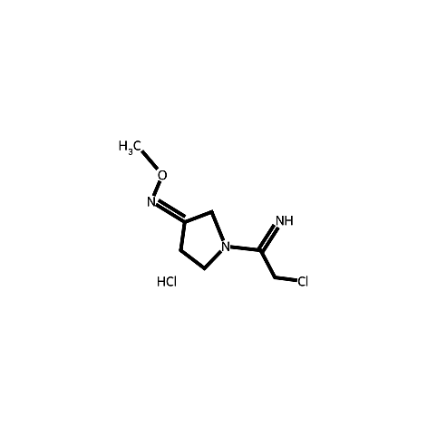 CO/N=C1/CCN(C(=N)CCl)C1.Cl